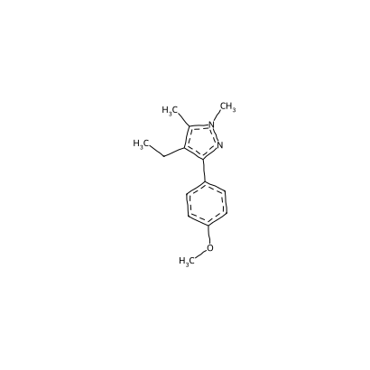 CCc1c(-c2ccc(OC)cc2)nn(C)c1C